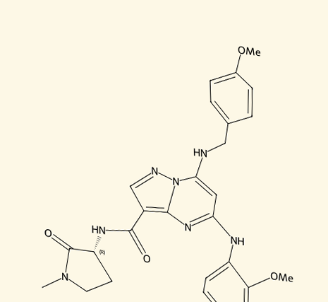 COc1ccc(CNc2cc(Nc3ccccc3OC)nc3c(C(=O)N[C@@H]4CCN(C)C4=O)cnn23)cc1